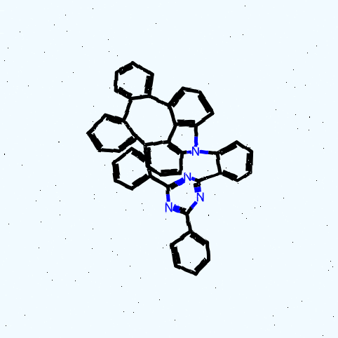 c1ccc(-c2nc(-c3ccccc3)nc(-c3ccccc3-n3c4cccc5c6ccccc6c6ccccc6c6cccc3c6c54)n2)cc1